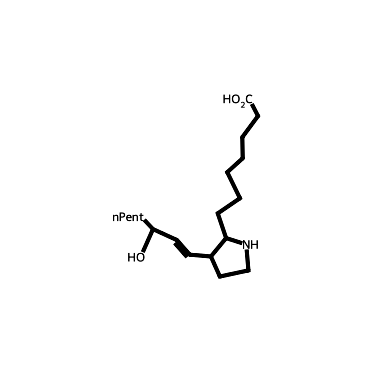 CCCCCC(O)C=CC1CCNC1CCCCCCC(=O)O